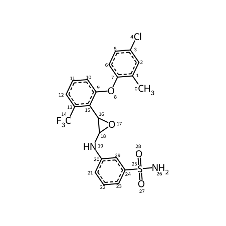 Cc1cc(Cl)ccc1Oc1cccc(C(F)(F)F)c1C1OC1Nc1cccc(S(N)(=O)=O)c1